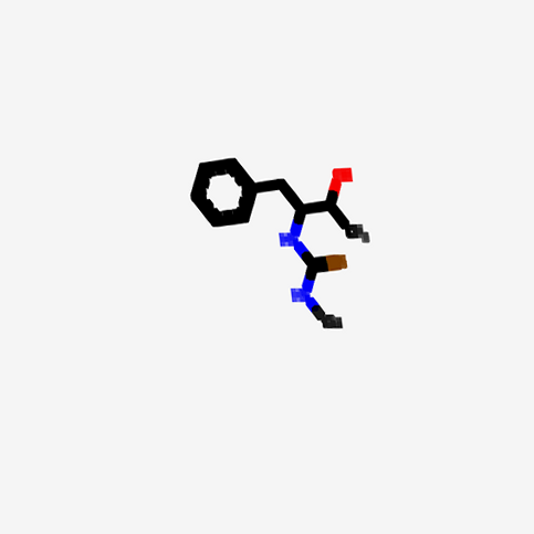 CC(O)C(Cc1ccccc1)NC(=S)NC(C)(C)C